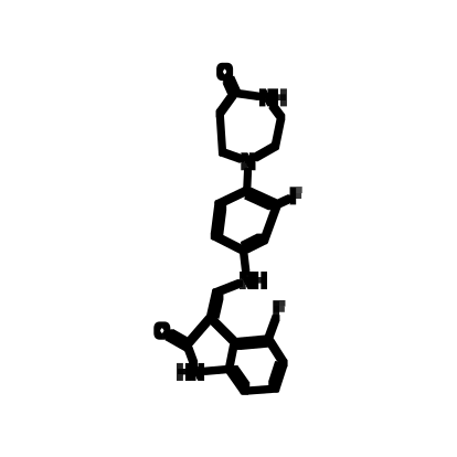 O=C1CCN(c2ccc(N/C=C3/C(=O)Nc4cccc(F)c43)cc2F)CCN1